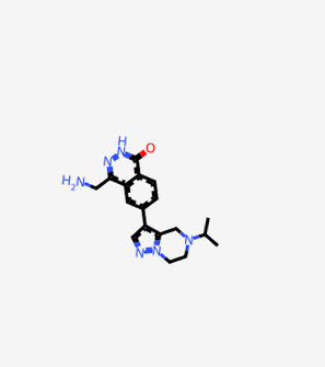 CC(C)N1CCn2ncc(-c3ccc4c(=O)[nH]nc(CN)c4c3)c2C1